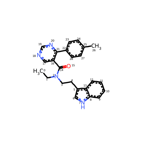 CCN(CCc1c[nH]c2ccccc12)C(=O)c1cncnc1-c1ccc(C)cc1